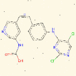 O=C(O)Nc1cncc(/C=C\c2cccc(Nc3nc(Cl)ncc3Cl)c2)c1